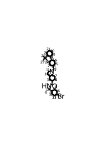 C[C@H](NC(=O)c1ccc2c(ccn2Cc2ccc(-c3ccccc3C(C)(C)C)cc2)c1)c1ccc(Br)cc1